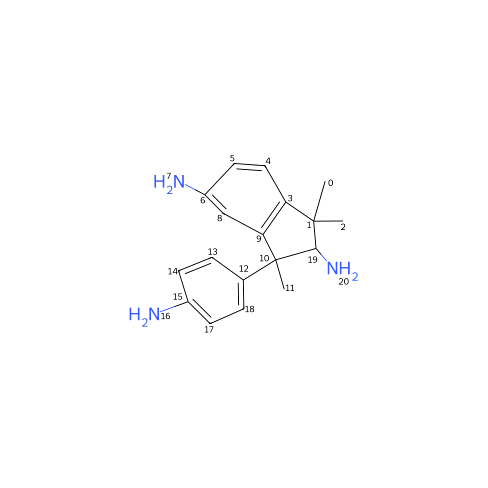 CC1(C)c2ccc(N)cc2C(C)(c2ccc(N)cc2)C1N